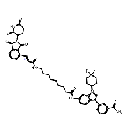 NC(=S)c1cccc(-c2cn(C3CCC(F)(F)CC3)c3cc(NC(=O)CCCCCCCCNC(=O)/C=C/c4cccc5c4C(=O)N(C4CCC(=O)NC4=O)C5=O)ccc23)c1